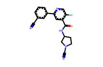 N#Cc1cccc(-c2cc(C(=O)NC3CCN(C#N)C3)c(F)cn2)c1